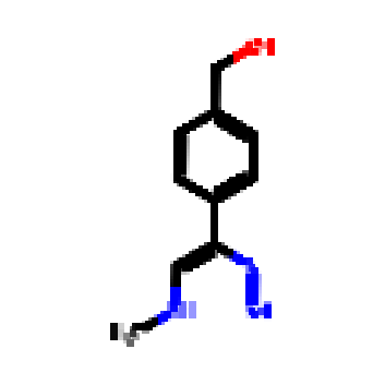 CN/C=C(\N=N)c1ccc(CO)cc1